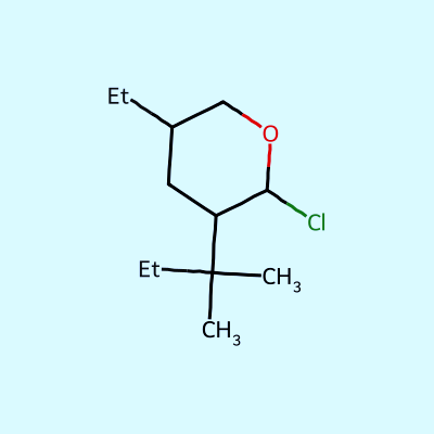 CCC1COC(Cl)C(C(C)(C)CC)C1